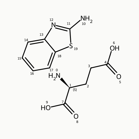 N[C@@H](CCC(=O)O)C(=O)O.Nc1nc2ccccc2s1